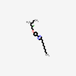 CCCCCCCCCCc1cnc(-c2ccc(OCCC(F)CC(C)CCC)cc2)nc1